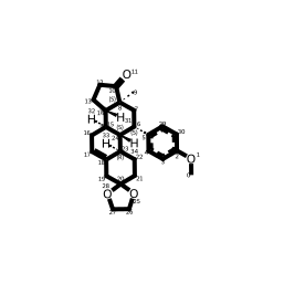 COc1ccc([C@H]2C[C@]3(C)C(=O)CC[C@H]3[C@@H]3CC=C4CC5(CC[C@@H]4[C@H]32)OCCO5)cc1